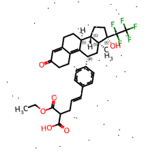 CCOC(=O)C(CC=Cc1ccc([C@H]2C[C@@]3(C)[C@@H](CC[C@@]3(O)C(F)(F)C(F)(F)F)[C@@H]3CCC4=CC(=O)CCC4=C32)cc1)C(=O)O